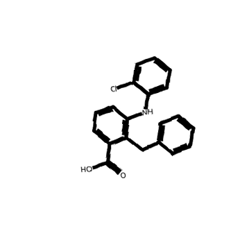 O=C(O)c1cccc(Nc2ccccc2Cl)c1Cc1ccccc1